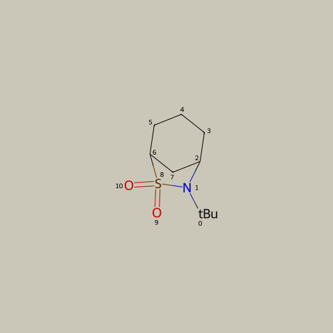 CC(C)(C)N1C2CCCC(C2)S1(=O)=O